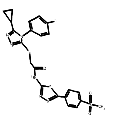 CS(=O)(=O)c1ccc(-c2nnc(NC(=O)CSc3nnc(C4CC4)n3-c3ccc(F)cc3)s2)cc1